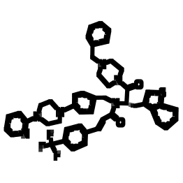 O=C([C@H](Cc1csc2ccccc12)N(Cc1ccc(N2CCN(c3ccccn3)CC2)cc1)C(=O)/C=C/c1ccc(C(F)(F)F)cc1)N1CCN(Cc2ccccc2)CC1